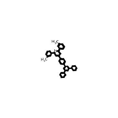 Cc1cccc(-c2cc(-c3ccc(-c4cc(-c5ccccc5)cc(-c5ccccc5)c4)cc3)cc(-c3cccc(C)c3)n2)c1